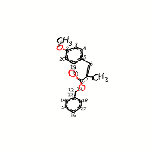 COc1ccc(C=C(C)C(=O)OCc2ccccc2)cc1